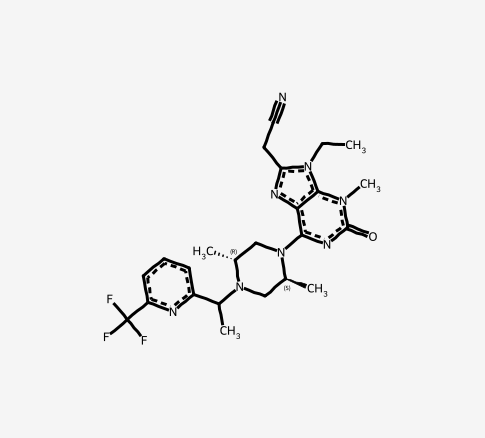 CCn1c(CC#N)nc2c(N3C[C@@H](C)N(C(C)c4cccc(C(F)(F)F)n4)C[C@@H]3C)nc(=O)n(C)c21